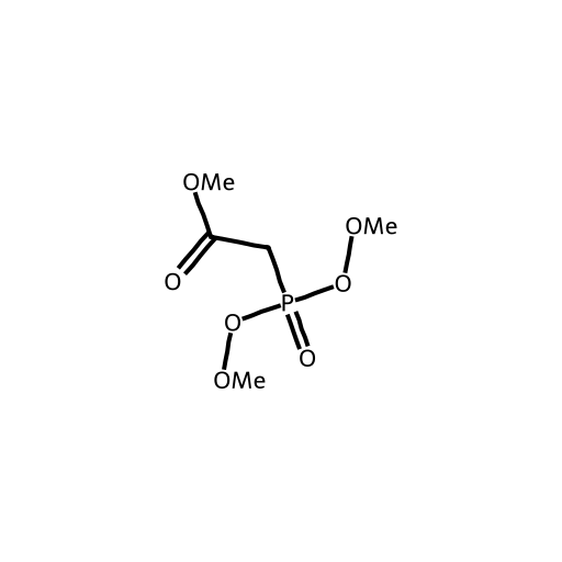 COOP(=O)(CC(=O)OC)OOC